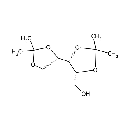 CC1(C)OC[C@@H]([C@@H]2OC(C)(C)O[C@@H]2CO)O1